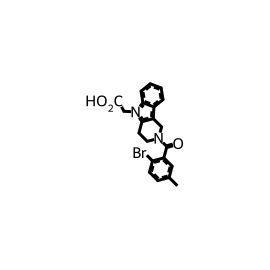 Cc1ccc(Br)c(C(=O)N2CCc3c(c4ccccc4n3CC(=O)O)C2)c1